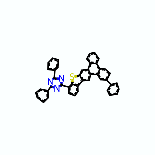 c1ccc(-c2ccc3c4ccccc4c4cc5sc6c(-c7nc(-c8ccccc8)nc(-c8ccccc8)n7)cccc6c5cc4c3c2)cc1